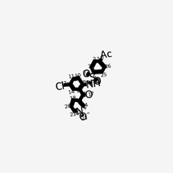 CC(=O)c1ccc(S(=O)(=O)Nc2ccc(Cl)cc2C(=O)c2ccc[n+]([O-])c2)cc1